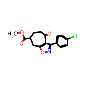 COC(=O)C1CCC(=O)c2c(-c3ccc(Cl)cc3)noc2C1